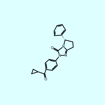 O=C(c1ccc(-n2nc3n(c2=O)[C@H](c2ccccc2)CC3)cc1)C1CC1